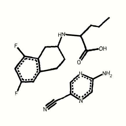 CCCC(NC1CCc2cc(F)cc(F)c2C1)C(=O)O.N#Cc1cnc(N)cn1